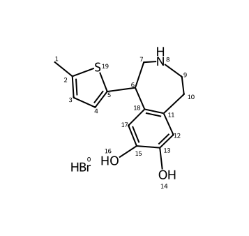 Br.Cc1ccc(C2CNCCc3cc(O)c(O)cc32)s1